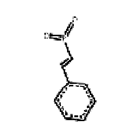 O=P(=O)C=Cc1ccccc1